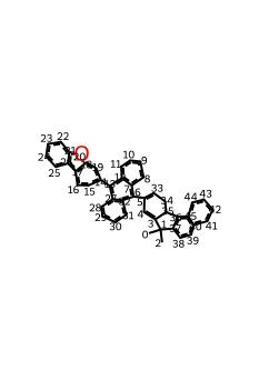 CC1(C)C2=CC(c3c4ccccc4c(-c4ccc5c(c4)oc4ccccc45)c4ccccc34)=CCC2c2c1ccc1ccccc21